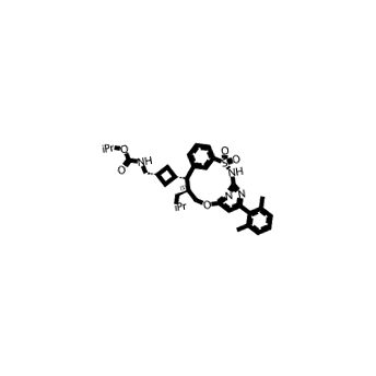 Cc1cccc(C)c1-c1cc2nc(n1)NS(=O)(=O)c1cccc(c1)C([C@H]1C[C@@H](CNC(=O)OC(C)C)C1)[C@H](CC(C)C)CO2